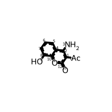 CC(=O)c1c(N)c2cccc(O)c2oc1=O